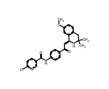 COc1ccc2c(c1)C(=CC(=O)c1ccc(NC(=O)c3ccc(Cl)nc3)cc1)NC(C)(C)C2